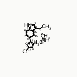 CCc1c[nH]c2ccc(-c3ccc(Cl)s3)cc12.CNC